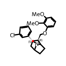 COc1cccc(OC[C@H]2C3CCC(C[C@@H]2c2cccc(Cl)c2)N3C)c1OC